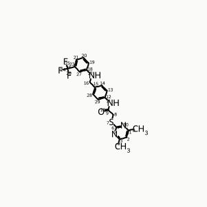 Cc1cc(C)nc(SCC(=O)Nc2ccc(CNc3cccc(C(F)(F)F)c3)cc2)n1